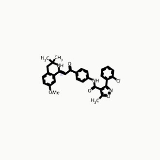 COc1ccc2c(c1)/C(=C/C(=O)c1ccc(NC(=O)c3c(-c4ccccc4Cl)noc3C)cc1)NC(C)(C)C2